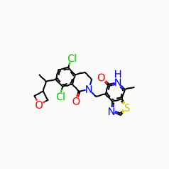 Cc1[nH]c(=O)c(CN2CCc3c(Cl)cc(C(C)C4COC4)c(Cl)c3C2=O)c2ncsc12